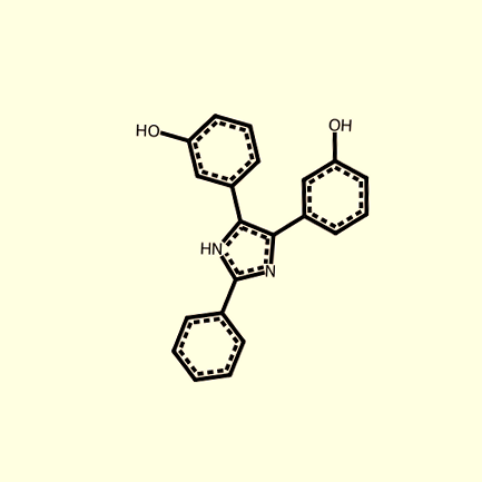 Oc1cccc(-c2nc(-c3ccccc3)[nH]c2-c2cccc(O)c2)c1